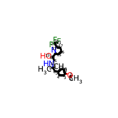 COc1ccc(CC(C)(C)NC[C@H](O)c2cccc(C(F)(F)F)n2)cc1